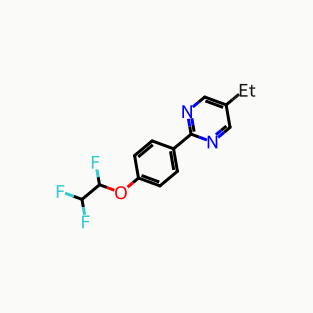 CCc1cnc(-c2ccc(OC(F)C(F)F)cc2)nc1